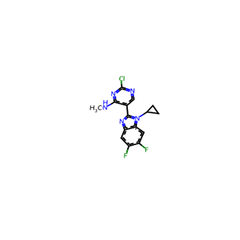 CNc1nc(Cl)ncc1-c1nc2cc(F)c(F)cc2n1C1CC1